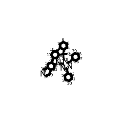 CC1(C)c2ccccc2-c2ccc3c4cc5cnccc5cc4n(-c4nc(-c5ccccc5)nc(-c5ccccc5)n4)c3c21